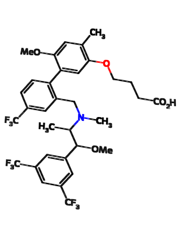 COc1cc(C)c(OCCCC(=O)O)cc1-c1ccc(C(F)(F)F)cc1CN(C)C(C)C(OC)c1cc(C(F)(F)F)cc(C(F)(F)F)c1